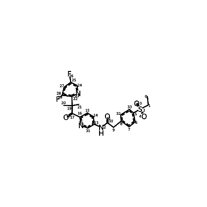 CCS(=O)(=O)c1ccc(CC(=O)Nc2ccc(C(=O)C(C)(C)c3ncc(F)cc3F)nc2)cc1